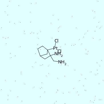 NCC1(N)CC2CC[C]1([Pt]([Cl])[Cl])C2